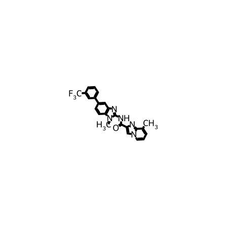 Cc1cccn2cc(C(=O)Nc3nc4cc(-c5cccc(C(F)(F)F)c5)ccc4n3C)nc12